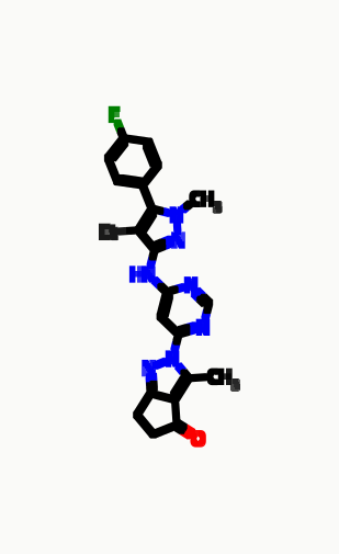 CCc1c(Nc2cc(-n3nc4c(c3C)C(=O)CC4)ncn2)nn(C)c1-c1ccc(F)cc1